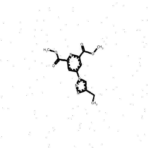 CCc1cn(-c2cc(C(=O)OC)nc(C(=O)OC)c2)nn1